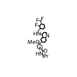 CO[C@]1(c2ccc3nccc(N[C@H](C)c4cccc(C(F)F)c4F)c3c2)CCN(C(=O)NC(C)C)C1